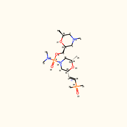 C[C@H]1CN(C)C[C@@H](COP(=O)(N(C)C)N2C[C@@H](/C=C/P(C)(C)=O)O[C@@H](C)C2)O1